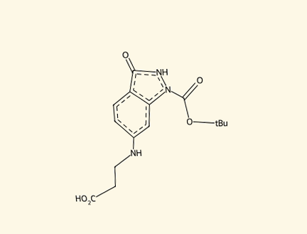 CC(C)(C)OC(=O)n1[nH]c(=O)c2ccc(NCCC(=O)O)cc21